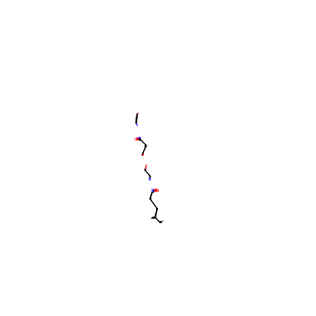 CCC(C)CCC(=O)NCCOCCC(=O)NCCO